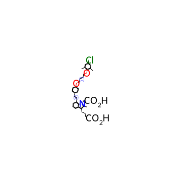 Cc1cc(Cl)cc(C)c1OC/C=C/COc1ccc(/C=C/c2cccc3c(CCCC(=O)O)c(C)n(CC(=O)O)c23)cc1